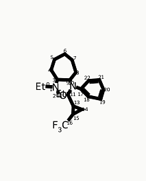 CCN(CC)C1CCCCCC1N(C(=O)C1CC1C(F)(F)F)c1ccccc1